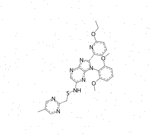 CCOc1cccc(-c2nc3ncc(NSCc4ncc(C)cn4)nc3n2-c2c(OC)cccc2OC)n1